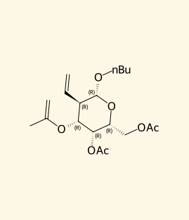 C=C[C@H]1[C@H](OCCCC)O[C@H](COC(C)=O)[C@H](OC(C)=O)[C@@H]1OC(=C)C